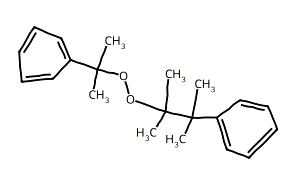 CC(C)(OOC(C)(C)C(C)(C)c1ccccc1)c1ccccc1